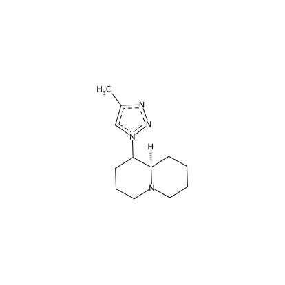 Cc1cn(C2CCCN3CCCC[C@H]23)nn1